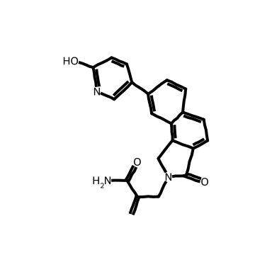 C=C(CN1Cc2c(ccc3ccc(-c4ccc(O)nc4)cc23)C1=O)C(N)=O